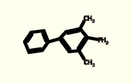 Cc1cc(-c2ccccc2)cc(C)c1P